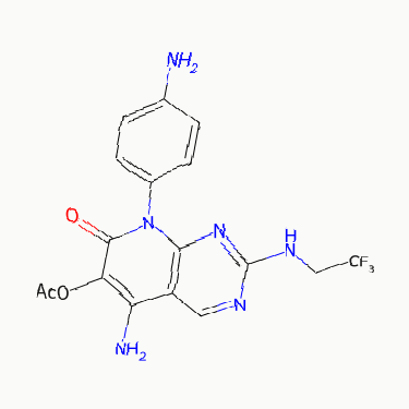 CC(=O)Oc1c(N)c2cnc(NCC(F)(F)F)nc2n(-c2ccc(N)cc2)c1=O